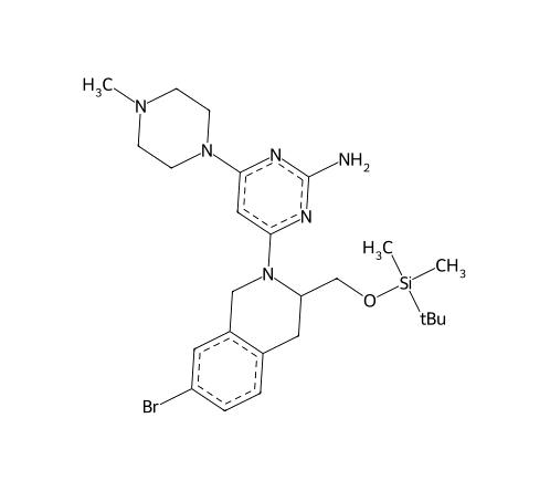 CN1CCN(c2cc(N3Cc4cc(Br)ccc4CC3CO[Si](C)(C)C(C)(C)C)nc(N)n2)CC1